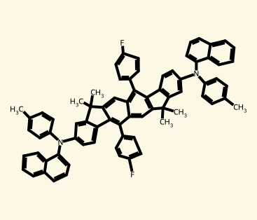 Cc1ccc(N(c2ccc3c(c2)C(C)(C)c2cc4c(-c5ccc(F)cc5)c5c(cc4c(-c4ccc(F)cc4)c2-3)C(C)(C)c2cc(N(c3ccc(C)cc3)c3cccc4ccccc34)ccc2-5)c2cccc3ccccc23)cc1